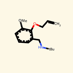 C=CCOc1c(CNC(C)(C)C)cccc1OC